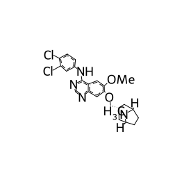 COc1cc2c(Nc3ccc(Cl)c(Cl)c3)ncnc2cc1OC[C@H]1C[C@H]2CC[C@@H](C1)N2C